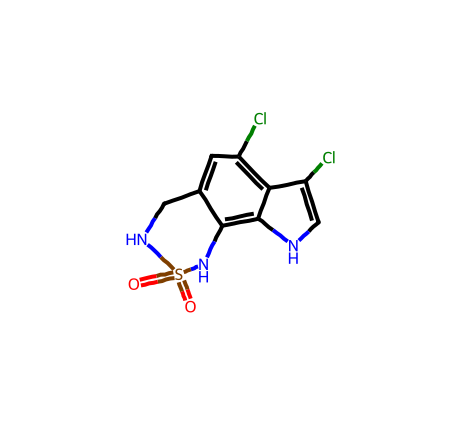 O=S1(=O)NCc2cc(Cl)c3c(Cl)c[nH]c3c2N1